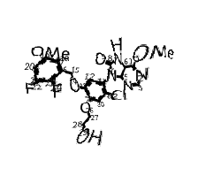 COC1=NC=NC2C1NC(=O)N2c1cc(OCc2c(OC)ccc(F)c2F)c(OCCO)cc1Cl